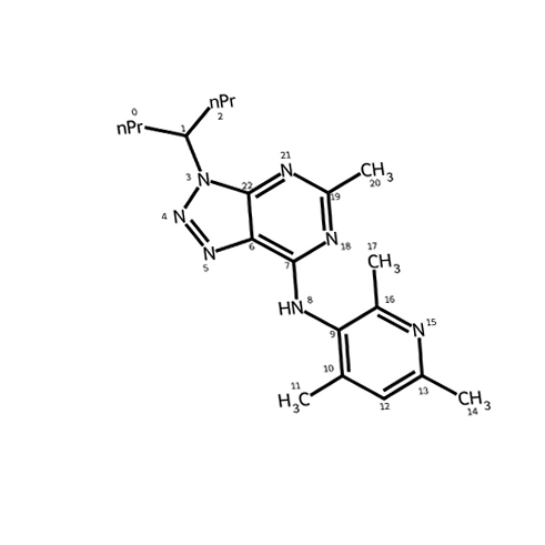 CCCC(CCC)n1nnc2c(Nc3c(C)cc(C)nc3C)nc(C)nc21